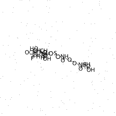 C[C@]12C=CC(=O)C=C1[C@@H](F)C[C@H]1C3C[C@H]4O[C@@H](c5ccc(Sc6cccc(NC(=O)CCOCCOCCNC(=O)C(S)CC(=O)O)c6)cc5)O[C@@]4(C(=O)CO)[C@@]3(C)C[C@H](O)[C@@]12F